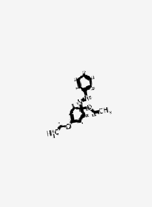 CCOC1=CCC(N=Nc2ccccc2)(OCC)C=C1